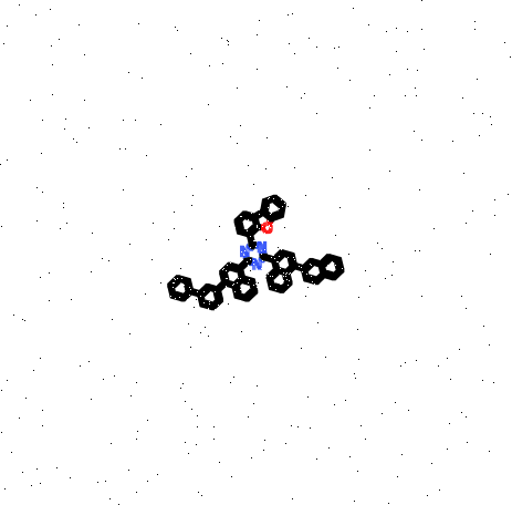 c1ccc(-c2cccc(-c3ccc(-c4nc(-c5ccc(-c6ccc7ccccc7c6)c6ccccc56)nc(-c5cccc6c5oc5ccccc56)n4)c4ccccc34)c2)cc1